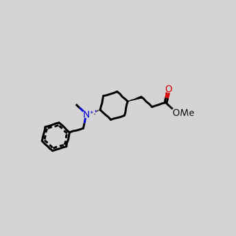 COC(=O)CC[C@H]1CC[C@H]([N+](C)Cc2ccccc2)CC1